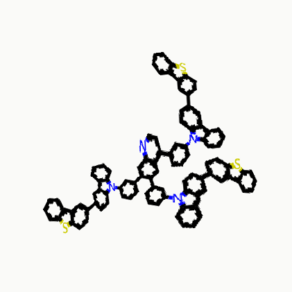 c1cc(-c2cc3nccc(-c4cccc(-n5c6ccccc6c6cc(-c7ccc8sc9ccccc9c8c7)ccc65)c4)c3cc2-c2cccc(-n3c4ccccc4c4cc(-c5ccc6sc7ccccc7c6c5)ccc43)c2)cc(-n2c3ccccc3c3cc(-c4ccc5sc6ccccc6c5c4)ccc32)c1